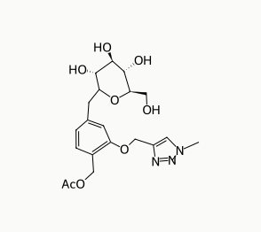 CC(=O)OCc1ccc(CC2O[C@H](CO)[C@@H](O)[C@H](O)[C@H]2O)cc1OCc1cn(C)nn1